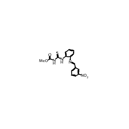 COC(=O)NC(=S)Nc1ccccc1/N=C/c1cccc([N+](=O)[O-])c1